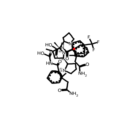 CC1C[C@H](C2CCCN2[C@@]2(C(=O)NC(=O)O)c3ccc(cc3)C2(C)CC(N)=O)N(c2ccc(C(F)(F)F)cc2)[C@@]1(C)C1CCCN1[C@@]1(C(=O)NC(=O)O)c2ccc(cc2)C1(C)CC(N)=O